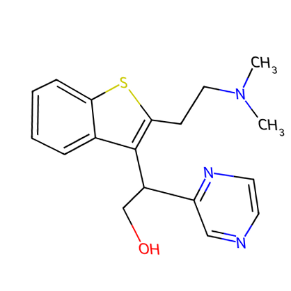 CN(C)CCc1sc2ccccc2c1C(CO)c1cnccn1